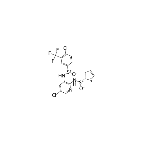 [O-][S+](Nc1cc(Cl)cnc1N[S+]([O-])c1cccs1)c1ccc(Cl)c(C(F)(F)F)c1